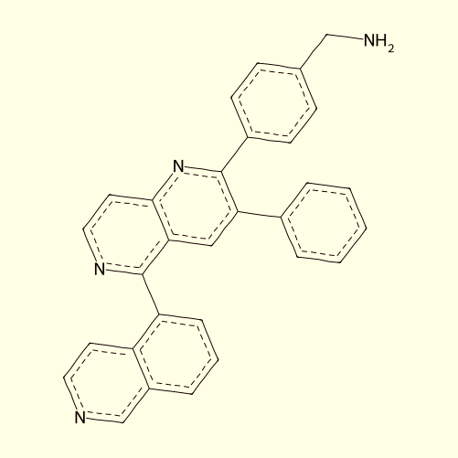 NCc1ccc(-c2nc3ccnc(-c4cccc5cnccc45)c3cc2-c2ccccc2)cc1